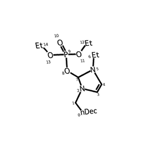 CCCCCCCCCCCN1C=CN(CC)C1OP(=O)(OCC)OCC